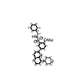 COc1ccc(-c2ccc3nccc(N4CCOCC4)c3n2)cc1S(=O)(=O)NCc1ccccc1